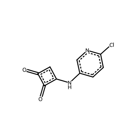 O=c1cc(Nc2ccc(Cl)nc2)c1=O